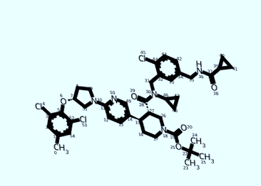 Cc1cc(Cl)c(O[C@@H]2CCN(c3ccc([C@@H]4CCN(C(=O)OC(C)(C)C)C[C@H]4C(=O)N(Cc4cc(CNC(=O)C5CC5)ccc4Cl)C4CC4)cn3)C2)c(Cl)c1